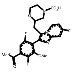 CNC(=O)c1cc(F)c(-c2nc3cc(Cl)ccn3c2CC2CN(C(=O)O)CCO2)c(OC)c1F